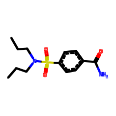 CCCN(CCC)S(=O)(=O)c1ccc(C(N)=O)cc1